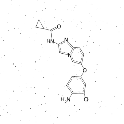 Nc1ccc(Oc2ccc3nc(NC(=O)C4CC4)cn3c2)cc1Cl